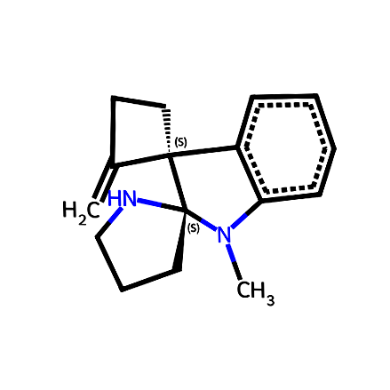 C=C1CC[C@@]12c1ccccc1N(C)[C@@]21CCCN1